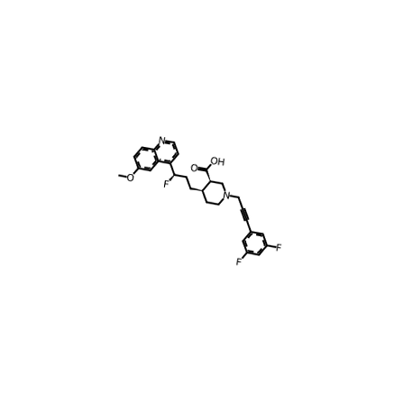 COc1ccc2nccc([C@H](F)CC[C@@H]3CCN(CC#Cc4cc(F)cc(F)c4)C[C@@H]3C(=O)O)c2c1